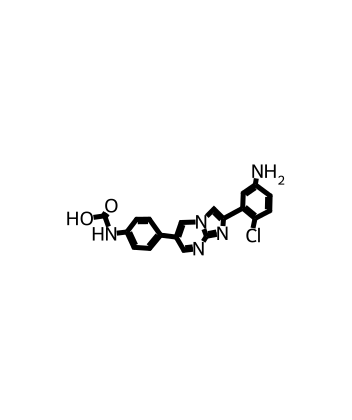 Nc1ccc(Cl)c(-c2cn3cc(-c4ccc(NC(=O)O)cc4)cnc3n2)c1